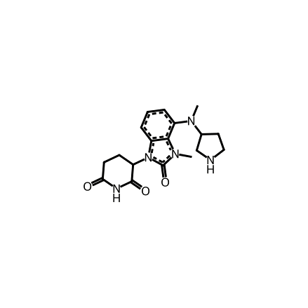 CN(c1cccc2c1n(C)c(=O)n2C1CCC(=O)NC1=O)C1CCNC1